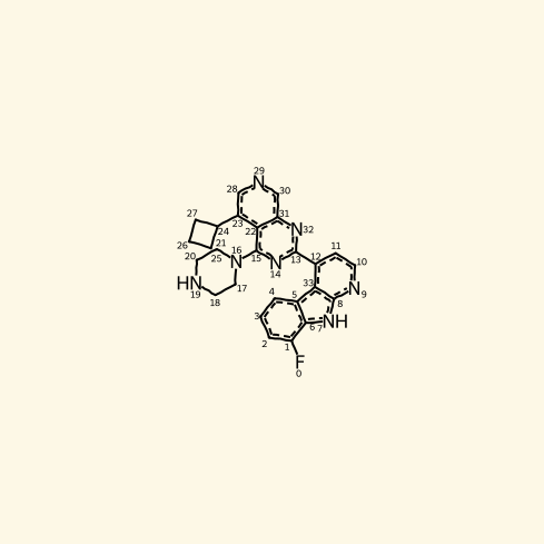 Fc1cccc2c1[nH]c1nccc(-c3nc(N4CCNCC4)c4c(C5CCC5)cncc4n3)c12